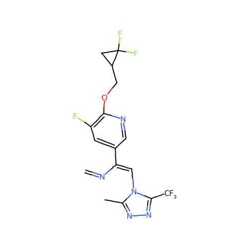 C=N/C(=C\n1c(C)nnc1C(F)(F)F)c1cnc(OCC2CC2(F)F)c(F)c1